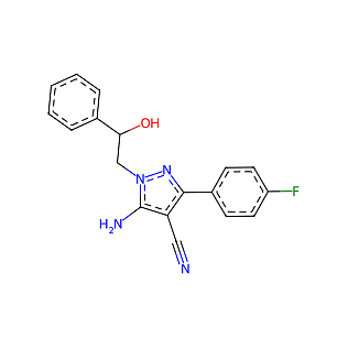 N#Cc1c(-c2ccc(F)cc2)nn(CC(O)c2ccccc2)c1N